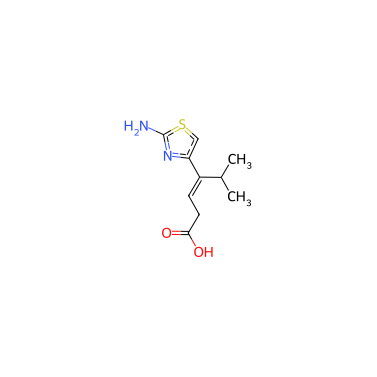 CC(C)/C(=C\CC(=O)O)c1csc(N)n1